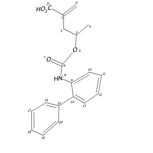 C=C(CC(C)OC(=O)Nc1ccccc1-c1ccccc1)C(=O)O